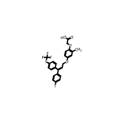 Cc1cc(OC/C=C(/c2ccc(I)cc2)c2ccc(SC(F)(F)F)cc2)ccc1OCC(=O)O